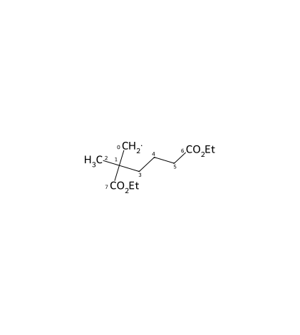 [CH2]C(C)(CCCC(=O)OCC)C(=O)OCC